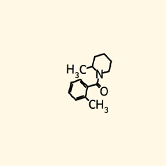 Cc1ccccc1C(=O)N1CCCCC1C